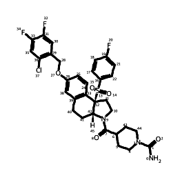 NC(=O)N1CCC(C(=O)N2CC[C@@]3(S(=O)(=O)c4ccc(F)cc4)c4ccc(OCc5cc(F)c(F)cc5Cl)cc4CC[C@@H]23)CC1